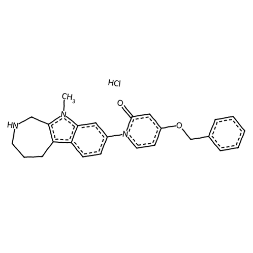 Cl.Cn1c2c(c3ccc(-n4ccc(OCc5ccccc5)cc4=O)cc31)CCCNC2